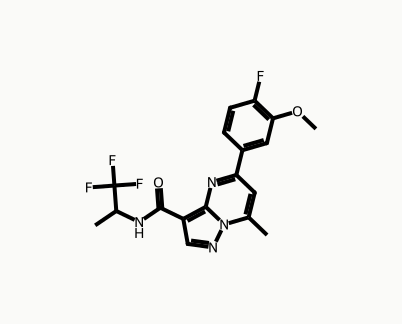 COc1cc(-c2cc(C)n3ncc(C(=O)NC(C)C(F)(F)F)c3n2)ccc1F